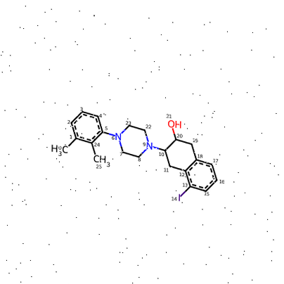 Cc1cccc(N2CCN(C3Cc4c(I)cccc4CC3O)CC2)c1C